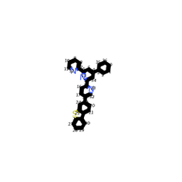 c1ccc(-c2cc(-c3ccccn3)nc(-c3ccc(-c4ccc5c(c4)sc4ccccc45)cn3)c2)cc1